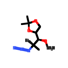 CC[C@@](C)(N=[N+]=[N-])[C@H](OS(=O)(=O)O)C1COC(C)(C)O1